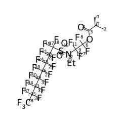 C=C(C)C(=O)OC(F)(F)C(F)(F)N(CC)S(=O)(=O)C(F)(F)C(F)(F)C(F)(F)C(F)(F)C(F)(F)C(F)(F)C(F)(F)C(F)(F)F